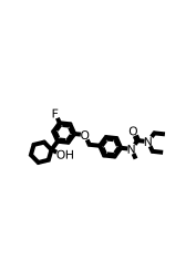 CCN(CC)C(=O)N(C)c1ccc(COc2cc(F)cc(C3(O)CCCCC3)c2)cc1